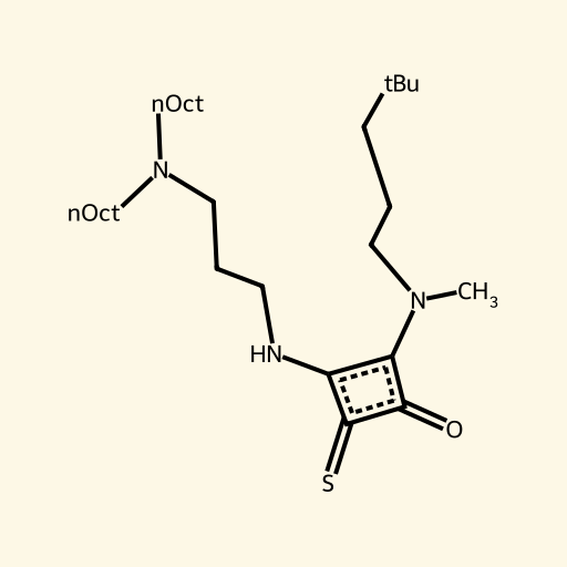 CCCCCCCCN(CCCCCCCC)CCCNc1c(N(C)CCCC(C)(C)C)c(=O)c1=S